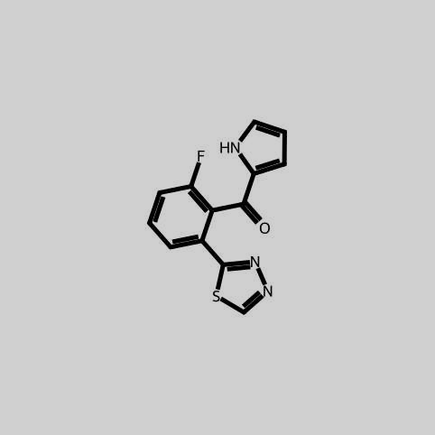 O=C(c1ccc[nH]1)c1c(F)cccc1-c1nncs1